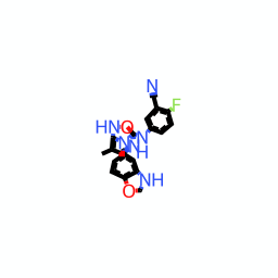 CC1=C2NOC(Nc3ccc(F)c(C#N)c3)(N=C1)N2c1ccc2c(c1)NCO2